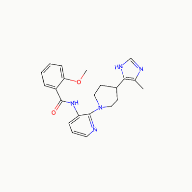 COc1ccccc1C(=O)Nc1cccnc1N1CCC(c2[nH]cnc2C)CC1